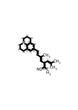 CC(C)=CC(/C=C(C)/C=C/c1cc2c3c(c1)CCCN3CCC2)=C(\C)C#N